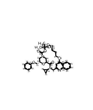 COCCCOc1cc(CN(C(=O)C2CN(C(=O)OC(C)(C)C)C[C@@H](COc3ccccc3)O2)C2CC2)nc2ccccc12